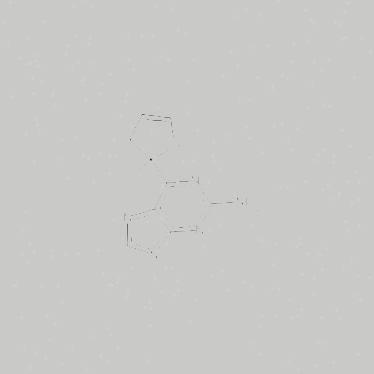 CC1(c2nc(N)nc3nc[nH]c23)CC=CO1